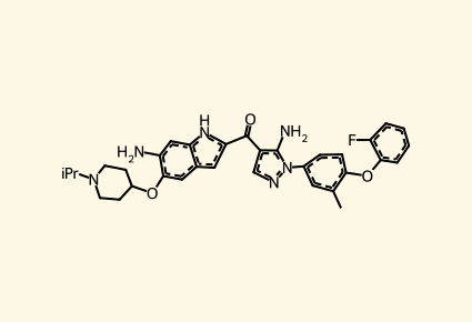 Cc1cc(-n2ncc(C(=O)c3cc4cc(OC5CCN(C(C)C)CC5)c(N)cc4[nH]3)c2N)ccc1Oc1ccccc1F